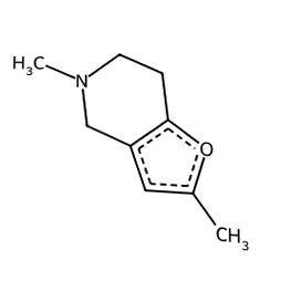 Cc1cc2c(o1)CCN(C)C2